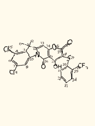 CC1(C)c2c(Cl)cc(Cl)cc2-n2c1cc1oc(=O)c(Sc3ccccc3C(F)(F)F)c(O)c1c2=O